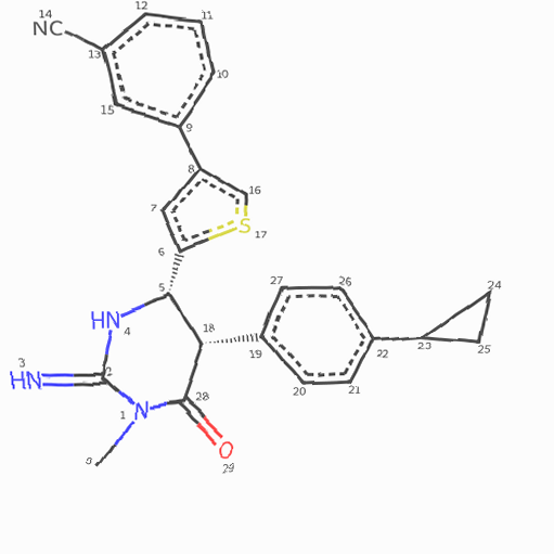 CN1C(=N)N[C@H](c2cc(-c3cccc(C#N)c3)cs2)[C@H](c2ccc(C3CC3)cc2)C1=O